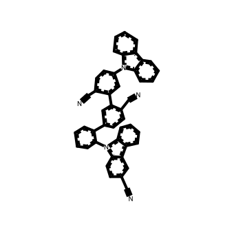 N#Cc1ccc2c(c1)c1ccccc1n2-c1ccccc1-c1ccc(C#N)c(-c2cc(-n3c4ccccc4c4ccccc43)ccc2C#N)c1